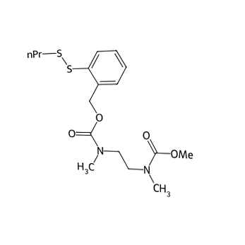 CCCSSc1ccccc1COC(=O)N(C)CCN(C)C(=O)OC